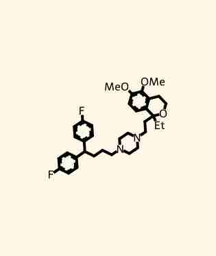 CCC1(CCN2CCN(CCCC(c3ccc(F)cc3)c3ccc(F)cc3)CC2)OCCc2c1ccc(OC)c2OC